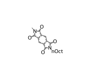 CCCCCCCCn1c(=O)c2cc3c(=O)n(C)c(=O)c3cc2c1=O